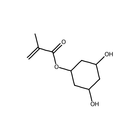 C=C(C)C(=O)OC1CC(O)CC(O)C1